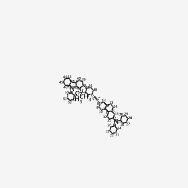 CC1(C)c2cc(C#Cc3ccc4c(ccc5cc(N(c6ccccc6)c6ccccc6)ccc54)c3)ccc2-c2ccc3c4ccccc4n(-c4ccccc4)c3c21